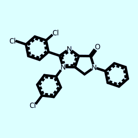 O=C1c2nc(-c3ccc(Cl)cc3Cl)n(-c3ccc(Cl)cc3)c2CN1c1ccccc1